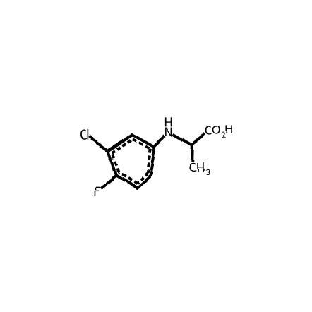 CC(Nc1ccc(F)c(Cl)c1)C(=O)O